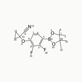 CC1(C)OB(c2ccc(OC3(C#N)CC3)c(F)c2F)OC1(C)C